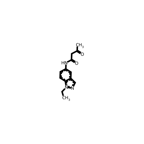 CCn1ncc2cc(NC(=O)CC(C)=O)ccc21